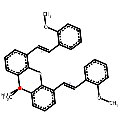 COc1ccccc1/C=C/c1cccc(OC)c1Sc1c(/C=C/c2ccccc2OC)cccc1OC